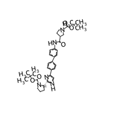 CC(C)(C)OC(=O)N1CCC(C(=O)Nc2ccc(-c3ccc(-c4c[nH]c([C@@H]5CCCN5C(=O)OC(C)(C)C)n4)cc3)cc2)C1